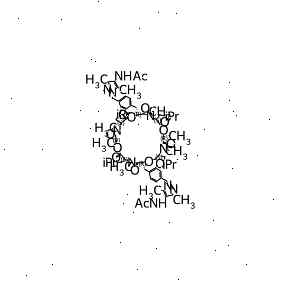 CC(=O)Nc1c(C)nn(Cc2ccc(C[C@H]3OC(=O)[C@H](CC(C)C)N(C)C(=O)[C@@H](C)OC(=O)[C@H](CC(C)C)N(C)C(=O)[C@@H](Cc4ccc(Cn5nc(C)c(NC(C)=O)c5C)cc4)OC(=O)[C@H](CC(C)C)N(C)C(=O)[C@@H](C)OC(=O)[C@H](CC(C)C)N(C)C3=O)cc2)c1C